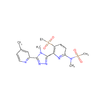 CCS(=O)(=O)c1ccc(N(C)S(C)(=O)=O)nc1-c1nnc(-c2cc(C(F)(F)F)ccn2)n1C